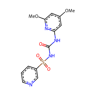 COc1cc(NC(=O)NS(=O)(=O)c2cccnc2)nc(OC)c1